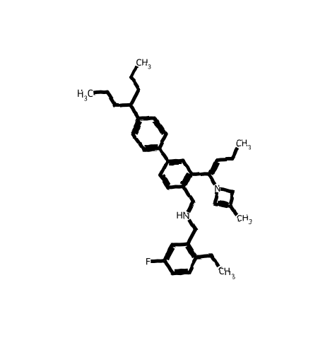 CCC=C(c1cc(-c2ccc(C(CCC)CCC)cc2)ccc1CNCc1cc(F)ccc1CC)N1C=C(C)C1